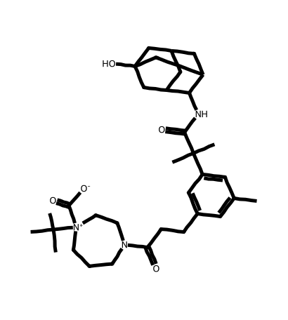 Cc1cc(CCC(=O)N2CCC[N+](C(=O)[O-])(C(C)(C)C)CC2)cc(C(C)(C)C(=O)NC2C3CC4CC2CC(O)(C4)C3)c1